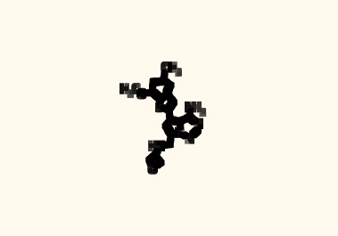 COc1cc(C)cc2cc(-c3cc(CNC4COC4)n4ncnc(N)c34)sc12